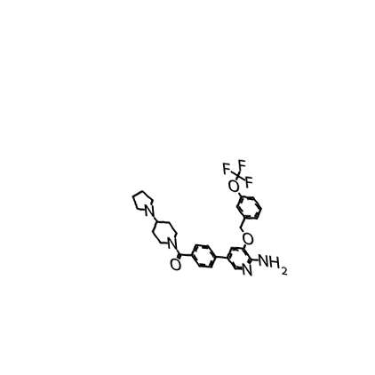 Nc1ncc(-c2ccc(C(=O)N3CCC(N4CCCC4)CC3)cc2)cc1OCc1cccc(OC(F)(F)F)c1